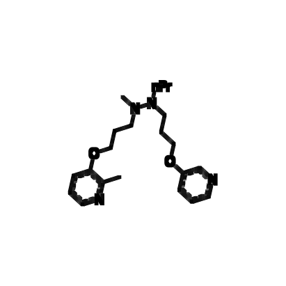 CCCN(CCCOc1cccnc1)N(C)CCCOc1cccnc1C